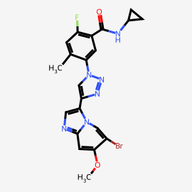 COc1cc2ncc(-c3cn(-c4cc(C(=O)NC5CC5)c(F)cc4C)nn3)n2cc1Br